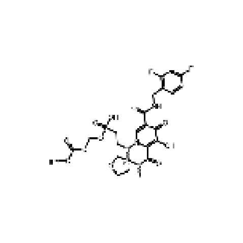 CC(C)OC(=O)OCOP(=O)(O)CCN1n2cc(C(=O)NCc3ccc(F)cc3F)c(=O)c(O)c2C(=O)N(C)[C@]12CCOC2